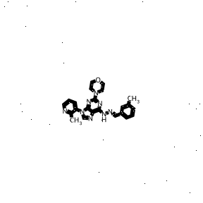 Cc1cccc(C=NNc2nc(N3CCOCC3)nc3c2ncn3-c2cccnc2C)c1